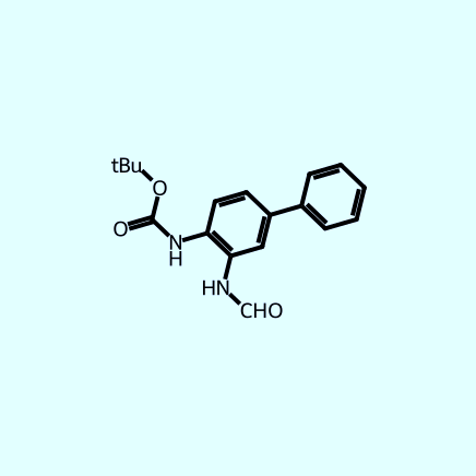 CC(C)(C)OC(=O)Nc1ccc(-c2ccccc2)cc1NC=O